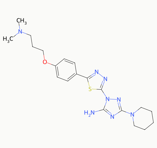 CN(C)CCCOc1ccc(-c2nnc(-n3nc(N4CCCCC4)nc3N)s2)cc1